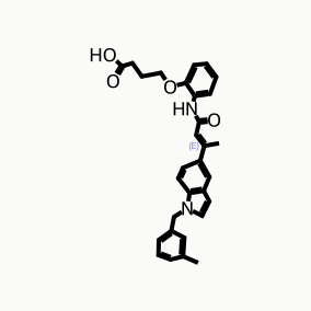 C/C(=C\C(=O)Nc1ccccc1OCCCC(=O)O)c1ccc2c(ccn2Cc2cccc(C)c2)c1